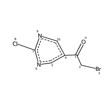 O=C(CBr)c1cnc(Cl)nc1